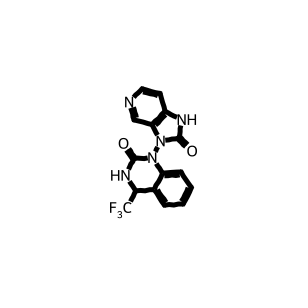 O=C1NC(C(F)(F)F)c2ccccc2N1n1c(=O)[nH]c2ccncc21